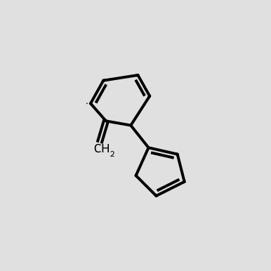 C=C1[C]=CC=CC1C1=CC=CC1